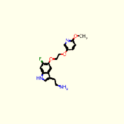 COc1ccc(OCCOc2cc3c(CCN)c[nH]c3cc2F)cn1